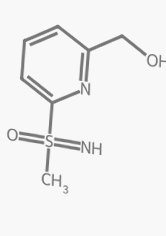 CS(=N)(=O)c1cccc(CO)n1